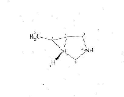 CC1C2CNC[C@H]12